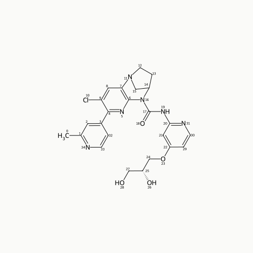 Cc1cc(-c2nc3c(cc2Cl)N2CCC(C2)N3C(=O)Nc2cc(OC[C@H](O)CO)ccn2)ccn1